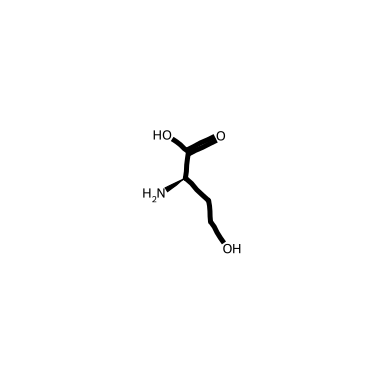 N[C@H](CCO)C(=O)O